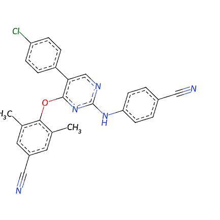 Cc1cc(C#N)cc(C)c1Oc1nc(Nc2ccc(C#N)cc2)ncc1-c1ccc(Cl)cc1